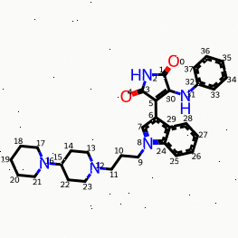 O=C1NC(=O)C(c2cn(CCCN3CCC(N4CCCCC4)CC3)c3ccccc23)=C1Nc1ccccc1